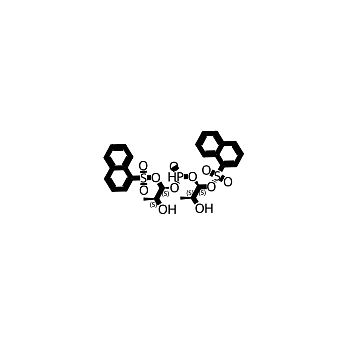 C[C@H](O)[C@@H](O[PH](=O)O[C@@H](OS(=O)(=O)c1cccc2ccccc12)[C@H](C)O)OS(=O)(=O)c1cccc2ccccc12